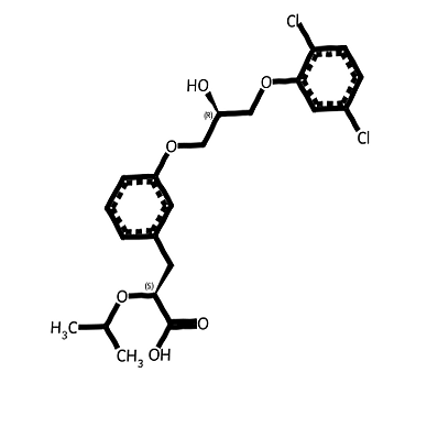 CC(C)O[C@@H](Cc1cccc(OC[C@@H](O)COc2cc(Cl)ccc2Cl)c1)C(=O)O